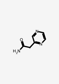 NC(=O)[CH]c1cnccn1